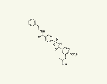 CCCCC(C)Cc1cc(C(=O)NS(=O)(=O)c2ccc(C(=O)NCCc3ccccc3)cc2)cnc1C(=O)O